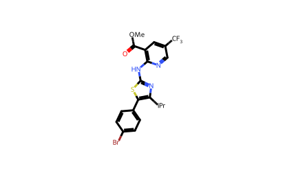 COC(=O)c1cc(C(F)(F)F)cnc1Nc1nc(C(C)C)c(-c2ccc(Br)cc2)s1